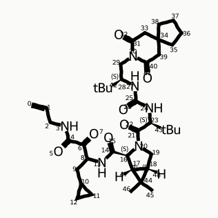 C=CCNC(=O)C(=O)C(CC1CC1)NC(=O)[C@@H]1[C@@H]2[C@H](CN1C(=O)[C@@H](NC(=O)N[C@H](CN1C(=O)CC3(CCCC3)CC1=O)C(C)(C)C)C(C)(C)C)C2(C)C